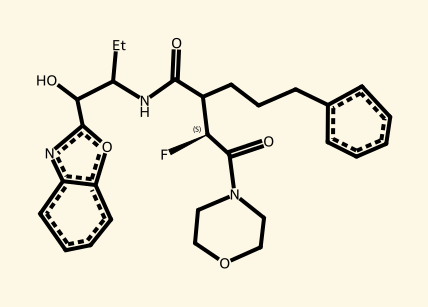 CCC(NC(=O)C(CCCc1ccccc1)[C@H](F)C(=O)N1CCOCC1)C(O)c1nc2ccccc2o1